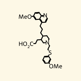 COc1cccc(SCCN2CCC(CCCc3ccnc4ccc(OC)cc34)C(CCC(=O)O)C2)c1